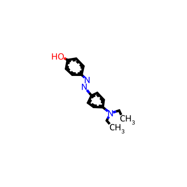 CCN(CC)c1ccc(/N=N/c2ccc(O)cc2)cc1